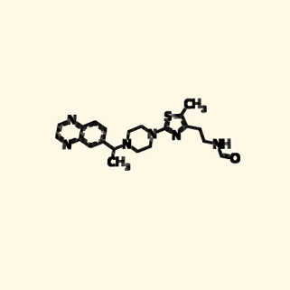 Cc1sc(N2CCN(C(C)c3ccc4nccnc4c3)CC2)nc1CCNC=O